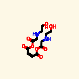 O=C(/C=C\C(=O)OC(=O)CNCCO)OC(=O)CNCCO